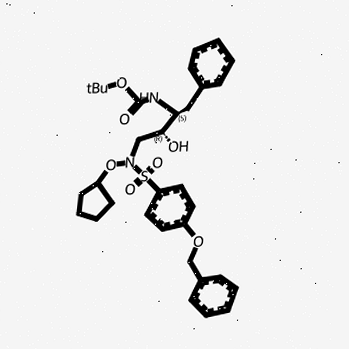 CC(C)(C)OC(=O)N[C@@H](Cc1ccccc1)[C@H](O)CN(OC1CCCC1)S(=O)(=O)c1ccc(OCc2ccccc2)cc1